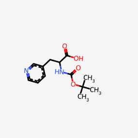 CC(C)(C)OC(=O)NC(Cc1cccnc1)C(=O)O